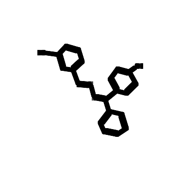 Oc1ccc(/C(=N\N=C\c2cccc(O)c2)c2ccccc2)cc1